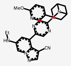 CCNc1cc(-c2cnc(N3CC4CC(C3)N4Cc3ccc(OC)nc3)cn2)c2c(C#N)cnn2c1